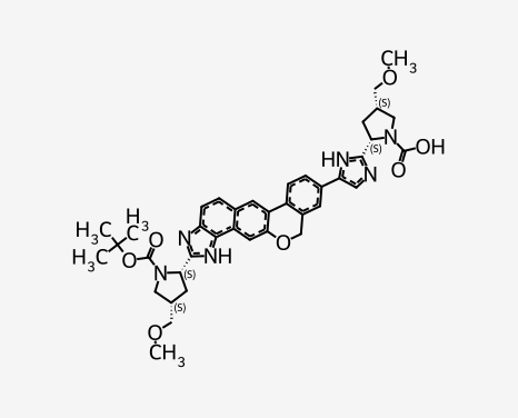 COC[C@H]1C[C@@H](c2ncc(-c3ccc4c(c3)COc3cc5c(ccc6nc([C@@H]7C[C@H](COC)CN7C(=O)OC(C)(C)C)[nH]c65)cc3-4)[nH]2)N(C(=O)O)C1